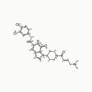 CN(C)CC=CC(=O)N1CCC(n2ncc3nc(NCc4ccc(Cl)c(Cl)c4)[nH]c(=O)c32)CC1